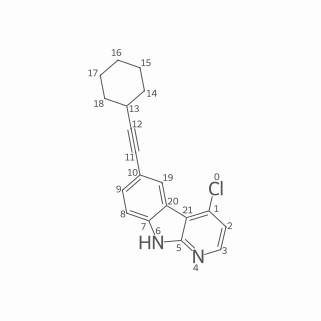 Clc1ccnc2[nH]c3ccc(C#CC4CCCCC4)cc3c12